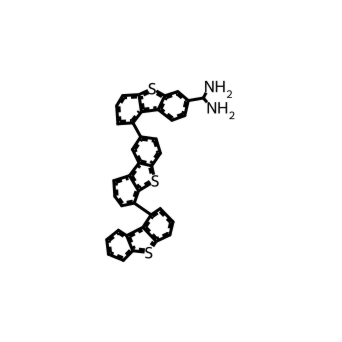 NC(N)c1ccc2c(c1)sc1cccc(-c3ccc4sc5c(-c6cccc7sc8ccccc8c67)cccc5c4c3)c12